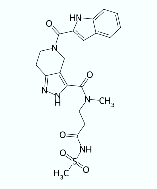 CN(CCC(=O)NS(C)(=O)=O)C(=O)c1[nH]nc2c1CN(C(=O)c1cc3ccccc3[nH]1)CC2